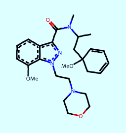 COc1cccc2c(C(=O)N(C)C(C)CC3(OC)C=CC=CC3)nn(CCN3CCOCC3)c12